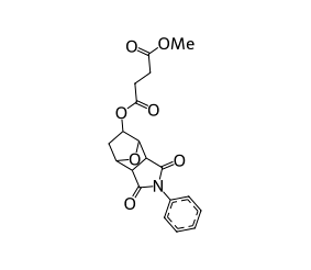 COC(=O)CCC(=O)OC1CC2OC1C1C(=O)N(c3ccccc3)C(=O)C21